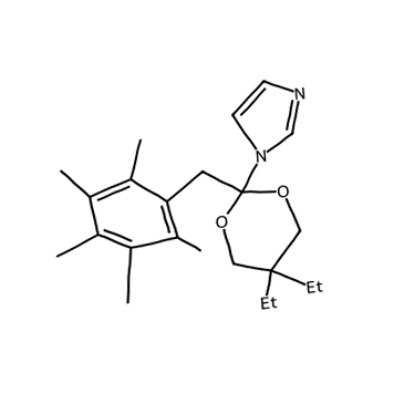 CCC1(CC)COC(Cc2c(C)c(C)c(C)c(C)c2C)(n2ccnc2)OC1